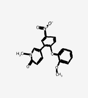 COc1ccccc1Oc1ccc([N+](=O)[O-])cc1-c1ccc(=O)n(C)c1